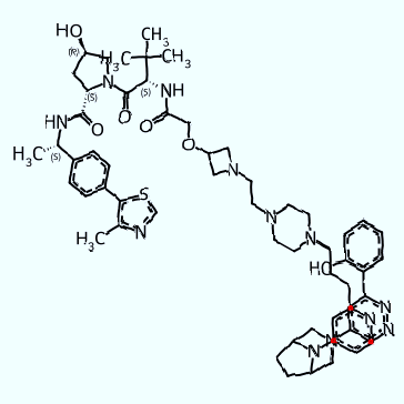 Cc1ncsc1-c1ccc([C@H](C)NC(=O)[C@@H]2C[C@@H](O)CN2C(=O)[C@@H](NC(=O)COC2CN(CCN3CCN(CCCc4cc(N5C6CCC5CN(c5cnnc(-c7ccccc7O)c5)C6)ccn4)CC3)C2)C(C)(C)C)cc1